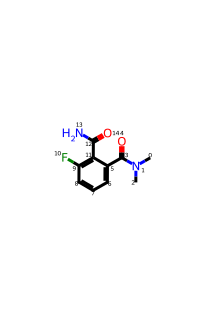 CN(C)C(=O)c1cccc(F)c1C(N)=O